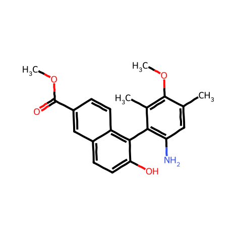 COC(=O)c1ccc2c(-c3c(N)cc(C)c(OC)c3C)c(O)ccc2c1